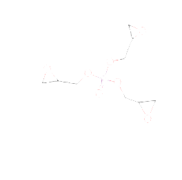 O=P(OCC1CO1)(OCC1CO1)OCC1CO1